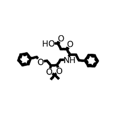 CC1(C)OC(CNC(CCc2ccccc2)C(=O)CC(=O)O)C(COCc2ccccc2)O1